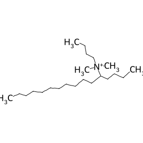 CCCCCCCCCCCC(CCCC)[N+](C)(C)CCCC